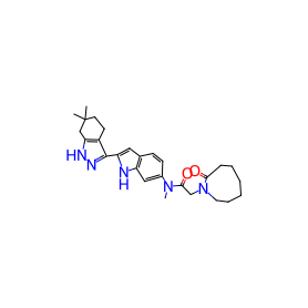 CN(C(=O)CN1CCCCCCC1=O)c1ccc2cc(-c3n[nH]c4c3CCC(C)(C)C4)[nH]c2c1